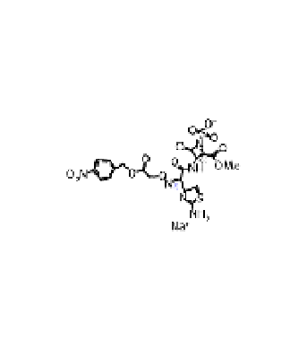 COC(=O)[C@H]1[C@@H](NC(=O)/C(=N\OCC(=O)OCc2ccc([N+](=O)[O-])cc2)c2csc(N)n2)C(=O)N1S(=O)(=O)[O-].[Na+]